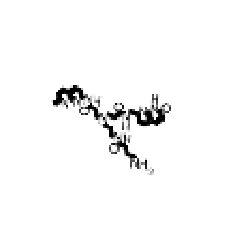 Cc1ccc2ccc(NC(=O)CCN(CCCNC(=O)CCCN)CCC(=O)NCc3ccc4ccc(=O)[nH]c4n3)nc2n1